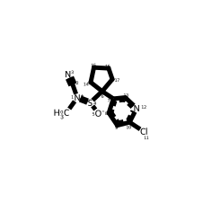 C[N+](C#N)=S([O-])C1(c2ccc(Cl)nc2)CCCC1